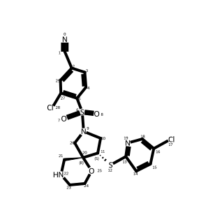 N#Cc1ccc(S(=O)(=O)N2C[C@H](Sc3ccc(Cl)cn3)[C@@]3(CNCCO3)C2)c(Cl)c1